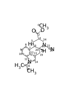 COC(=O)C1C[C@@H]2c3cccc4c3c(cn4C(C)C)C[C@H]2N(C#N)C1